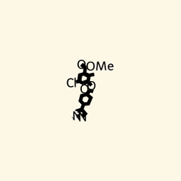 COC(=O)c1cc(Cl)c2c(c1C)OC(C)(C1CCC(c3cnn(C)c3)CC1)O2